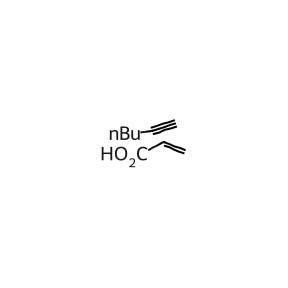 C#CCCCC.C=CC(=O)O